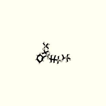 CC(O[Si](C)(C)C(C)(C)C(C)(C)O[Si](C)(c1ccccc1)C(C)(C)O[Si](C)(C)C)[Si](C)(C)C